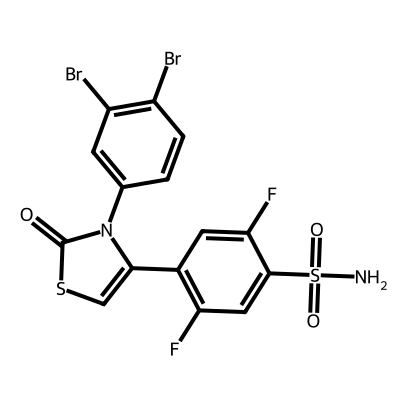 NS(=O)(=O)c1cc(F)c(-c2csc(=O)n2-c2ccc(Br)c(Br)c2)cc1F